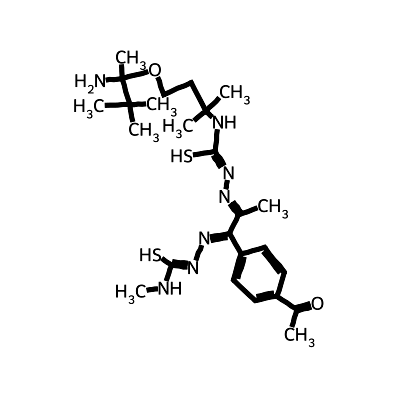 CN/C(S)=N/N=C(/C(C)=N/N=C(\S)NC(C)(C)CCOC(C)(N)C(C)(C)C)c1ccc(C(C)=O)cc1